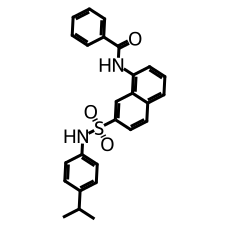 CC(C)c1ccc(NS(=O)(=O)c2ccc3cccc(NC(=O)c4ccccc4)c3c2)cc1